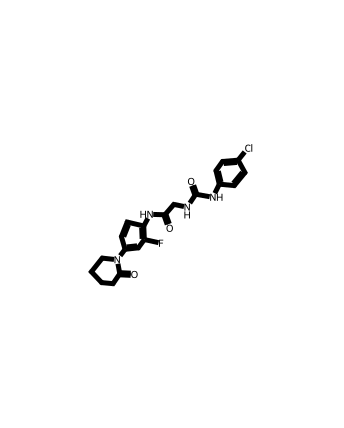 O=C(CNC(=O)Nc1ccc(Cl)cc1)Nc1ccc(N2CCCCC2=O)cc1F